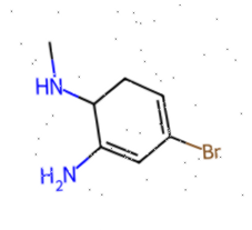 CNC1CC=C(Br)C=C1N